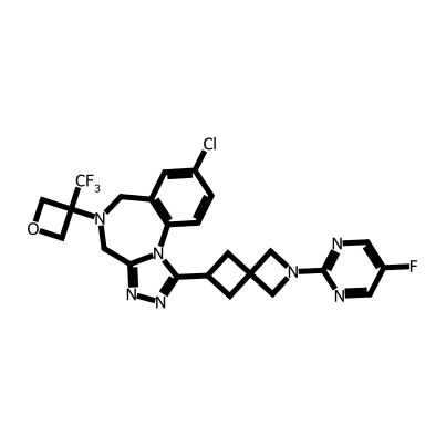 Fc1cnc(N2CC3(CC(c4nnc5n4-c4ccc(Cl)cc4CN(C4(C(F)(F)F)COC4)C5)C3)C2)nc1